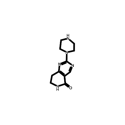 O=C1NCCc2nc(N3CCNCC3)ncc21